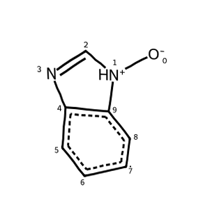 [O-][NH+]1C=Nc2cc[c]cc21